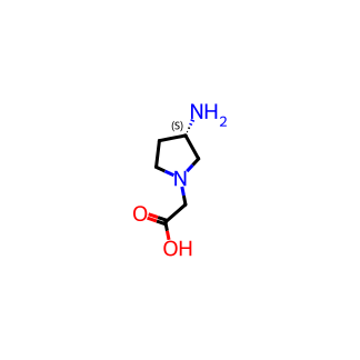 N[C@H]1CCN(CC(=O)O)C1